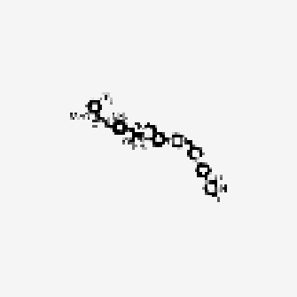 COc1ccc(C(F)(F)F)cc1C(=O)NCc1ccc(-c2nn3c(c2C(N)=O)Nc2ccc(N4CCN(CC5CCN(c6ccc(N7CCC(=O)NC7=O)cc6)CC5)CC4)cc2CC3)cc1C